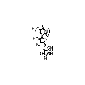 C=C1NC(=O)N(C2OC(COC(C(=O)O)P(=O)(O)O)C(O)C2O)C=C1C